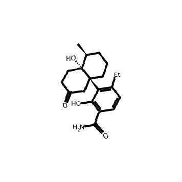 CCc1ccc(C(N)=O)c(O)c1[C@]12CCC[C@H](C)[C@]1(O)CCC(=O)C2